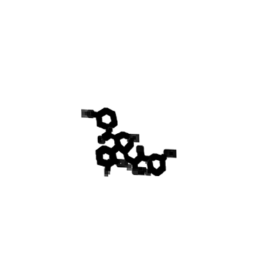 COC(C[C@@H]1CNC[C@H](C(=O)N2CCCC(O)C2)C1c1cccc(F)c1C)C(=O)N1CCCC(O)C1